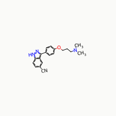 CN(C)CCCOc1ccc(-c2n[nH]c3ccc(C#N)cc23)cc1